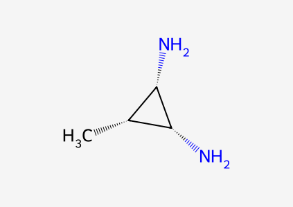 C[C@H]1[C@@H](N)[C@H]1N